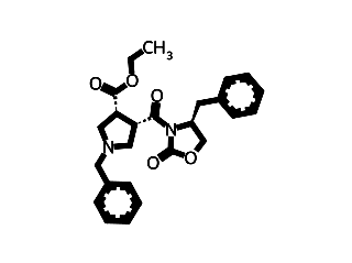 CCOC(=O)[C@H]1CN(Cc2ccccc2)C[C@H]1C(=O)N1C(=O)OC[C@@H]1Cc1ccccc1